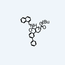 CC(C)(C)OC(=O)N1CCC(c2cccc(-c3ccccc3)c2)=C(C(=O)NCc2cccc3ccccc23)C1